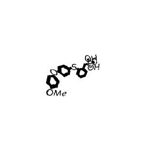 COc1ccc(Oc2ccc(Sc3ccccc3CP(=O)(O)O)cc2)cc1